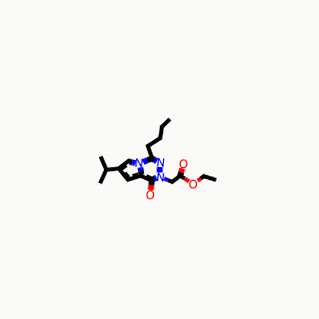 CCCCc1nn(CC(=O)OCC)c(=O)c2cc(C(C)C)cn12